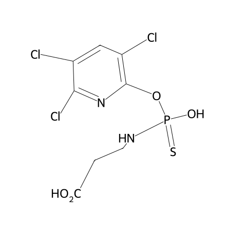 O=C(O)CCNP(O)(=S)Oc1nc(Cl)c(Cl)cc1Cl